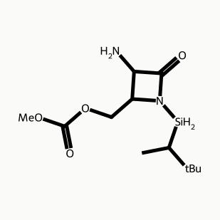 COC(=O)OCC1C(N)C(=O)N1[SiH2]C(C)C(C)(C)C